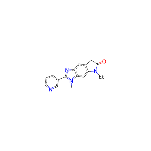 CCN1C(=O)Cc2cc3nc(-c4cccnc4)n(C)c3cc21